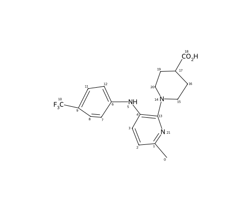 Cc1ccc(Nc2ccc(C(F)(F)F)cc2)c(N2CCC(C(=O)O)CC2)n1